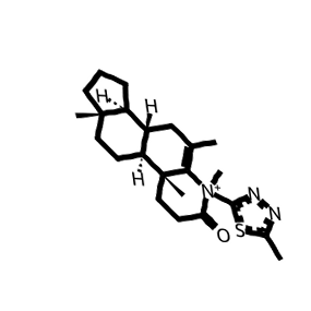 CC1=C2[C@](C)(CCC(=O)[N+]2(C)c2nnc(C)s2)[C@H]2CC[C@]3(C)CCC[C@H]3[C@@H]2C1